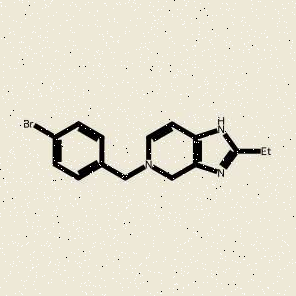 CCc1nc2c([nH]1)C=CN(Cc1ccc(Br)cc1)C2